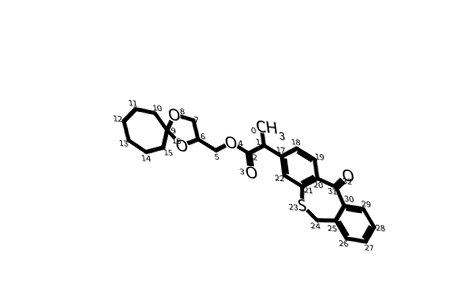 CC(C(=O)OCC1COC2(CCCCCC2)O1)c1ccc2c(c1)SCc1ccccc1C2=O